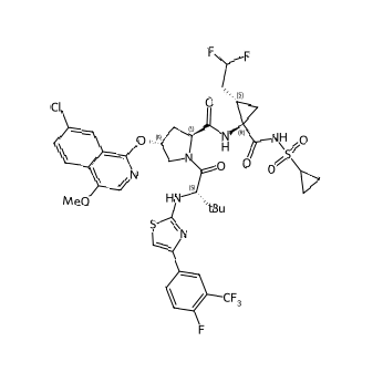 COc1cnc(O[C@@H]2C[C@@H](C(=O)N[C@]3(C(=O)NS(=O)(=O)C4CC4)C[C@H]3CC(F)F)N(C(=O)[C@@H](Nc3nc(-c4ccc(F)c(C(F)(F)F)c4)cs3)C(C)(C)C)C2)c2cc(Cl)ccc12